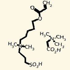 C=CC(=O)OCCCCC[N+](C)(C)CCCS(=O)(=O)O.C[N+](C)(C)CC(=O)O